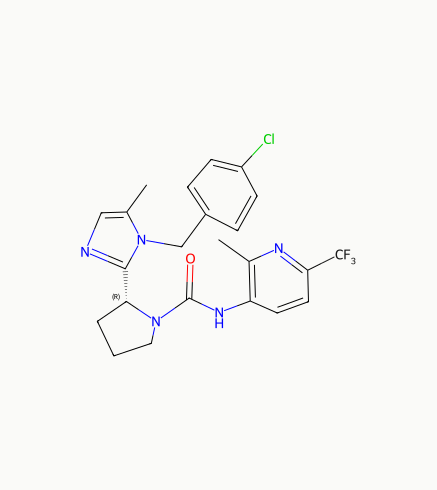 Cc1nc(C(F)(F)F)ccc1NC(=O)N1CCC[C@@H]1c1ncc(C)n1Cc1ccc(Cl)cc1